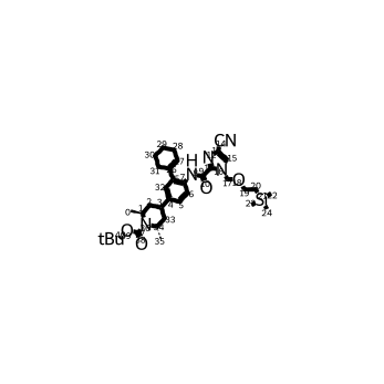 C[C@H]1CC(c2ccc(NC(=O)c3nc(C#N)cn3COCC[Si](C)(C)C)c(C3=CCCCC3)c2)C[C@H](C)N1C(=O)OC(C)(C)C